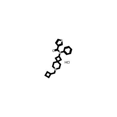 Cl.O=C(c1ccsc1)N(c1ccccc1)C1CC2(CCN(CC3CCC3)CC2)C1